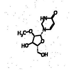 COC1C(O)[C@@H](CO)O[C@H]1N1C=CC(=O)NC1